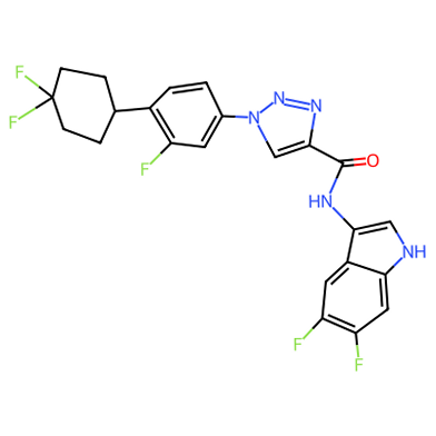 O=C(Nc1c[nH]c2cc(F)c(F)cc12)c1cn(-c2ccc(C3CCC(F)(F)CC3)c(F)c2)nn1